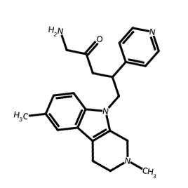 Cc1ccc2c(c1)c1c(n2CC(CC(=O)CN)c2ccncc2)CN(C)CC1